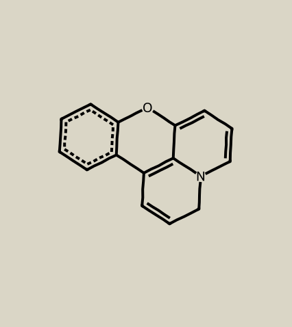 C1=CN2CC=CC3=C2C(=C1)Oc1ccccc13